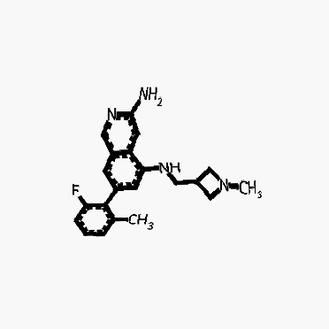 Cc1cccc(F)c1-c1cc(NCC2CN(C)C2)c2cc(N)ncc2c1